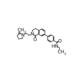 CCNC(=O)c1ccc(-c2ccc3c(c2)C(=O)N(CCN2CCC[C@H]2C)CC3)cc1